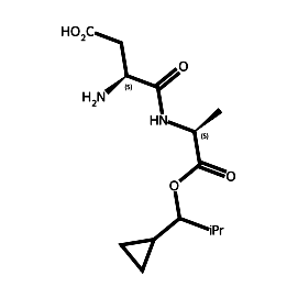 CC(C)C(OC(=O)[C@H](C)NC(=O)[C@@H](N)CC(=O)O)C1CC1